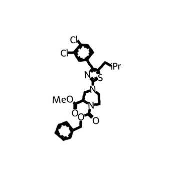 COC(=O)C1CN(c2nc(-c3ccc(Cl)c(Cl)c3)c(CC(C)C)s2)CCN1C(=O)OCc1ccccc1